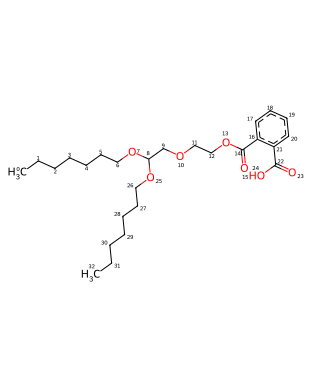 CCCCCCCOC(COCCOC(=O)c1ccccc1C(=O)O)OCCCCCCC